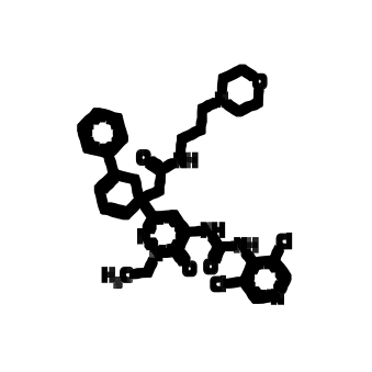 CCn1nc(C2(CC(=O)NCCCN3CCOCC3)C=CC=C(c3ccccc3)C2)cc(NC(=O)Nc2c(Cl)cncc2Cl)c1=O